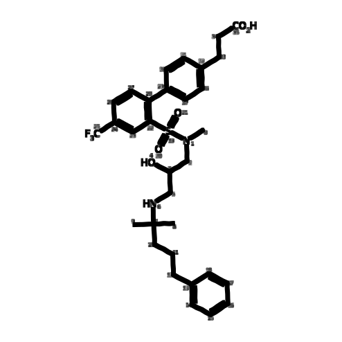 CN(CC(O)CNC(C)(C)CCCc1ccccc1)S(=O)(=O)c1cc(C(F)(F)F)ccc1-c1ccc(CCC(=O)O)cc1